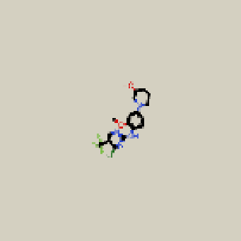 COc1cc(N2CCCC(O)C2)ccc1Nc1ncc(C(F)(F)F)c(Cl)n1